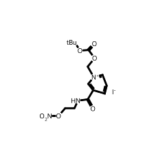 CC(C)(C)OC(=O)OC[n+]1cccc(C(=O)NCCO[N+](=O)[O-])c1.[I-]